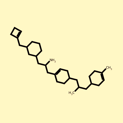 CC1=CCC(CC(C)CC2CC=C(CC(N)CC3CCCC(CC4=CCC4)C3)CC2)CC1